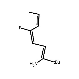 C\C=C/C(F)=C\C=C(/N)C(C)(C)C